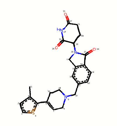 Cc1ccsc1C1=CCN(Cc2ccc3c(c2)CN(C2CCC(=O)NC2=O)C3=O)CC1